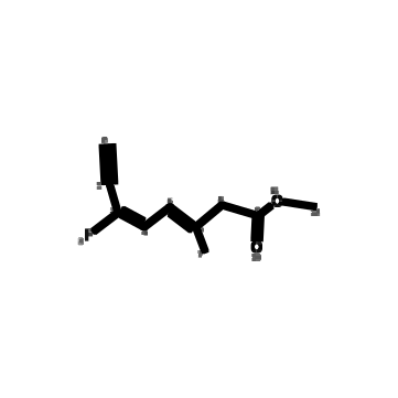 C#C/C(F)=C\C=C(/C)CC(=O)OC